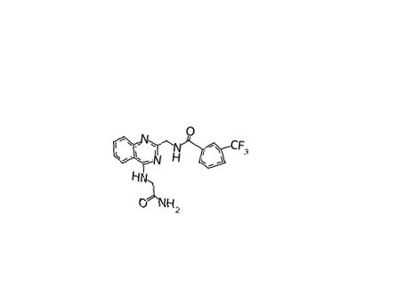 NC(=O)CNc1nc(CNC(=O)c2cccc(C(F)(F)F)c2)nc2ccccc12